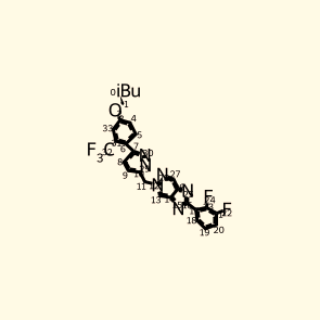 CC[C@H](C)COc1ccc(-c2ccc(Cn3cc4nc(-c5cccc(F)c5F)nc-4cn3)nn2)c(C(F)(F)F)c1